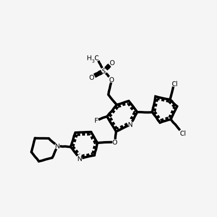 CS(=O)(=O)OCc1cc(-c2cc(Cl)cc(Cl)c2)nc(Oc2ccc(N3CCCCC3)nc2)c1F